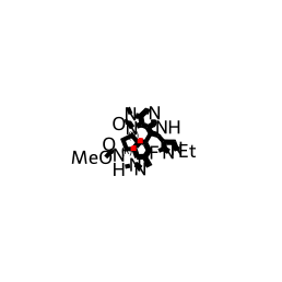 CCn1cc(-c2[nH]c3ncc4c(c3c2-c2ccc3c(cnn3C)c2)n([C@@H]2CC[C@@H](NC(=O)OC)C2)c(=O)n4C)c(F)n1